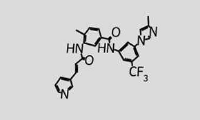 Cc1cn(-c2cc(NC(=O)c3ccc(C)c(NC(=O)C=Cc4cccnc4)c3)cc(C(F)(F)F)c2)cn1